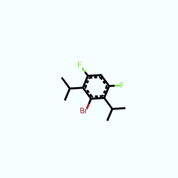 CC(C)c1c(F)cc(F)c(C(C)C)c1Br